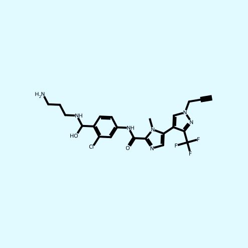 C#CCn1cc(-c2cnc(C(=O)Nc3ccc(C(O)NCCCN)c(Cl)c3)n2C)c(C(F)(F)F)n1